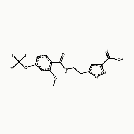 COc1cc(OC(F)(F)F)ccc1C(=O)NCCn1cc(C(=O)O)nn1